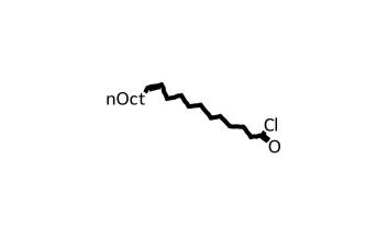 CCCCCCCC/C=C\CCCCCCCCCC(=O)Cl